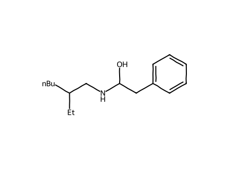 CCCCC(CC)CNC(O)Cc1ccccc1